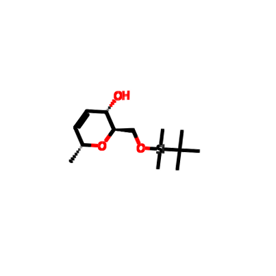 C[C@@H]1C=C[C@H](O)[C@@H](CO[Si](C)(C)C(C)(C)C)O1